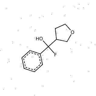 OC(F)(c1ccccc1)C1CCOC1